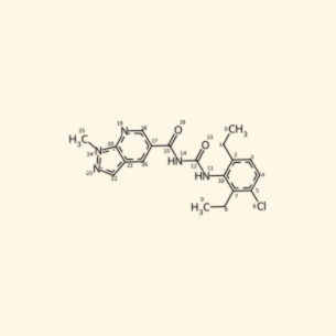 CCc1ccc(Cl)c(CC)c1NC(=O)NC(=O)c1cnc2c(cnn2C)c1